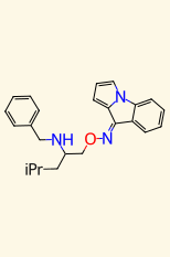 CC(C)CC(CO/N=C1/c2ccccc2-n2cccc21)NCc1ccccc1